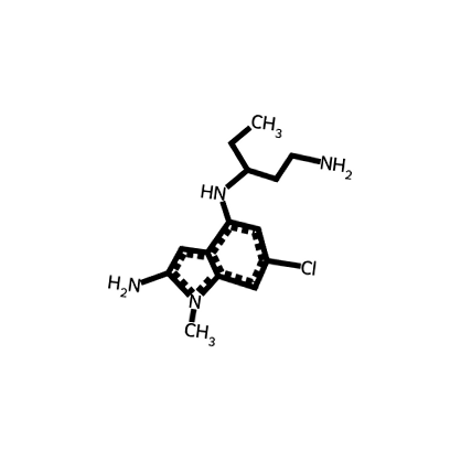 CCC(CCN)Nc1cc(Cl)cc2c1cc(N)n2C